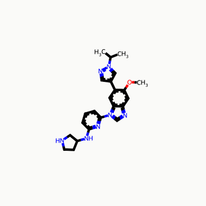 COc1cc2ncn(-c3cccc(NC4CCNC4)n3)c2cc1-c1cnn(C(C)C)c1